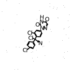 N#CC(Cl)(c1ccc(Cl)cc1)c1ccc(-n2ncc(=O)[nH]c2=O)cc1Cl